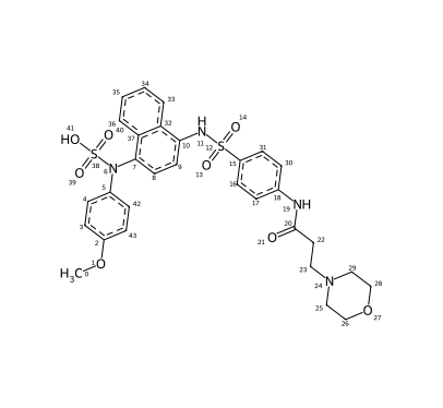 COc1ccc(N(c2ccc(NS(=O)(=O)c3ccc(NC(=O)CCN4CCOCC4)cc3)c3ccccc23)S(=O)(=O)O)cc1